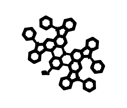 CC(C)(C)c1cc2c3c(c1)-c1c4c(cc5c6ccccc6n(-c6ccccc6)c5c4cc4c1c1ccccc1n4-c1ccccc1)B3c1cc3c4ccccc4n(-c4ccccc4)c3c3cc4c(c-2c13)c1ccccc1n4-c1ccccc1